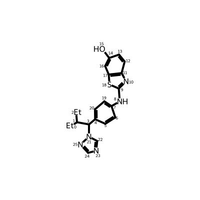 CCC(CC)C(c1ccc(Nc2nc3ccc(O)cc3s2)cc1)n1cncn1